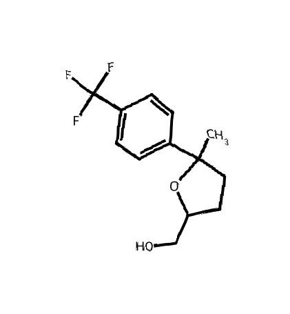 CC1(c2ccc(C(F)(F)F)cc2)CCC(CO)O1